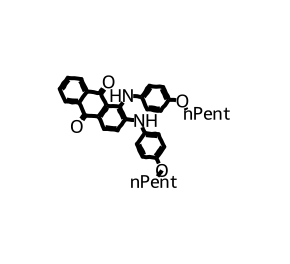 CCCCCOc1ccc(Nc2ccc3c(c2Nc2ccc(OCCCCC)cc2)C(=O)c2ccccc2C3=O)cc1